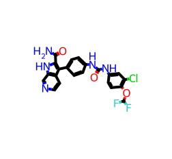 NC(=O)c1[nH]c2cnccc2c1-c1ccc(NC(=O)Nc2ccc(OC(F)F)c(Cl)c2)cc1